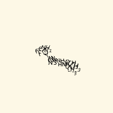 CC(C)(C)OC(=O)NCCNc1nn2c(-c3cnc(N)c(C(F)(F)F)c3)cnc2s1